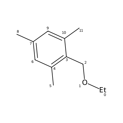 CCOCc1c(C)cc(C)cc1C